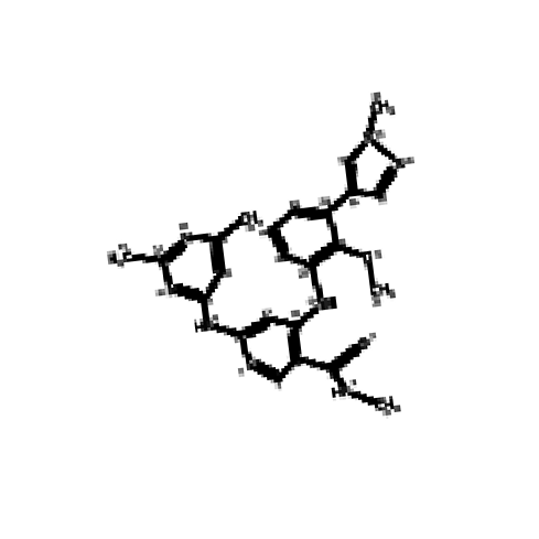 CNC(=O)c1cnc(Nc2cc(C)nc(C)n2)cc1Nc1cccc(-c2cnn(C)c2)c1OC